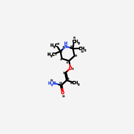 C/C(=C\OC1CC(C)(C)NC(C)(C)C1)C(N)=O